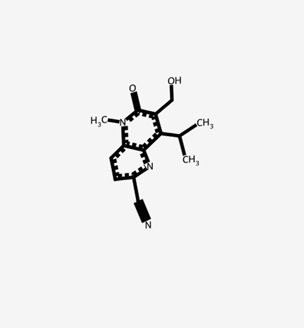 CC(C)c1c(CO)c(=O)n(C)c2ccc(C#N)nc12